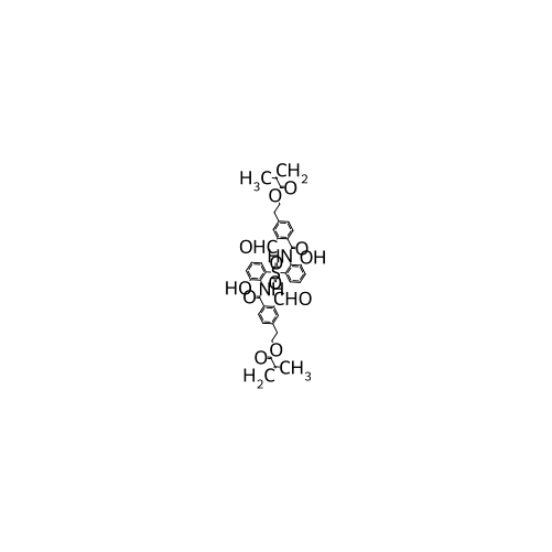 C=C(C)C(=O)OCCc1ccc(C(=O)Nc2c(O)cccc2S(=O)(=O)c2cccc(O)c2NC(=O)c2ccc(CCOC(=O)C(=C)C)cc2C=O)c(C=O)c1